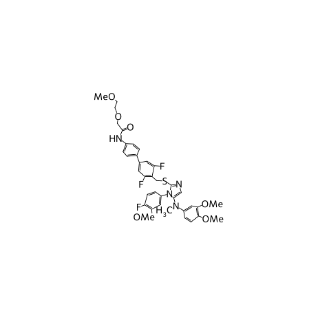 COCCOCC(=O)Nc1ccc(-c2cc(F)c(CSc3ncc(N(C)c4ccc(OC)c(OC)c4)n3-c3ccc(F)c(OC)c3)c(F)c2)cc1